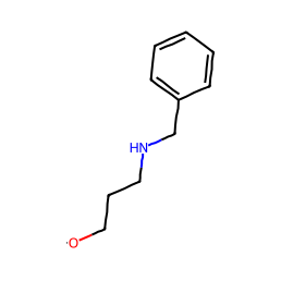 [O]CCCNCc1ccccc1